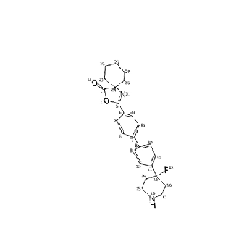 O=C1OC(c2ccc(-c3ccc(C4(F)CCNCC4)cc3)cc2)=NC12CCCCC2